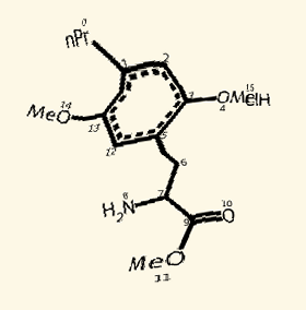 CCCc1cc(OC)c(CC(N)C(=O)OC)cc1OC.Cl